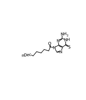 CCCCCCCCCCCCCCCC(=O)n1cnc2c(=S)[nH]c(N)nc21